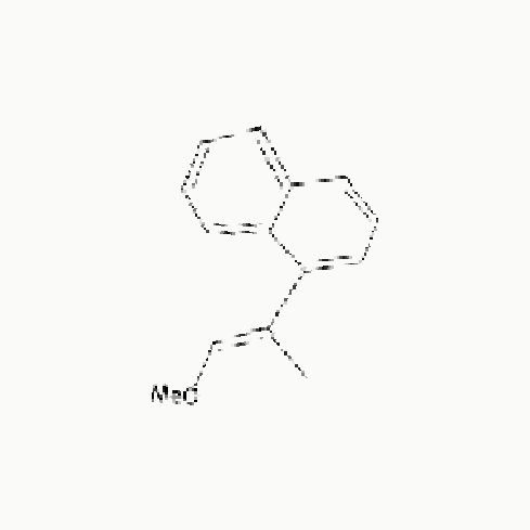 COC=C(C)c1cccc2ccccc12